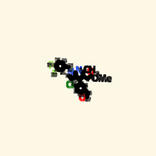 COC(=O)Cc1c(C)nc2c(ccn2Cc2ccc(F)c(F)c2)c1-c1cc2ccoc2cc1Cl